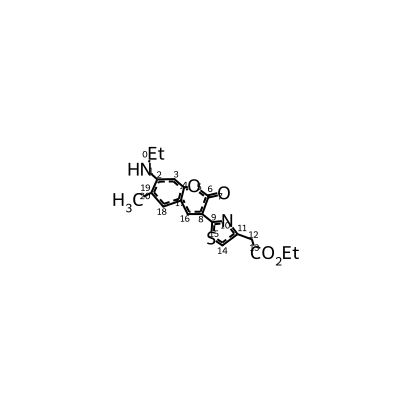 CCNc1cc2oc(=O)c(-c3nc(CC(=O)OCC)cs3)cc2cc1C